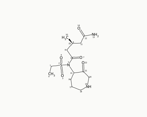 CCS(=O)(=O)N(C(=O)C[C@@H](C)CC(N)=O)C1CCCNCC1=O